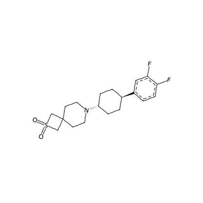 O=S1(=O)CC2(CCN([C@H]3CC[C@H](c4ccc(F)c(F)c4)CC3)CC2)C1